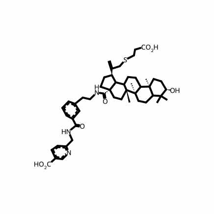 C=C(CSCCC(=O)O)[C@@H]1CC[C@]2(C(=O)NCCc3cccc(C(=O)NCc4ccc(C(=O)O)cn4)c3)CC[C@]3(C)C(CCC4[C@@]5(C)CC[C@H](O)C(C)(C)C5CC[C@]43C)C12